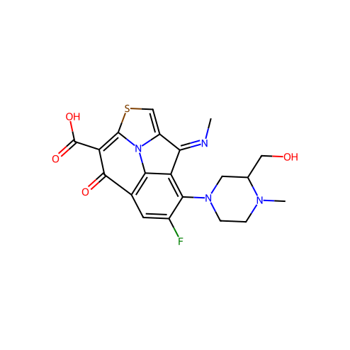 CN=c1c2c(N3CCN(C)C(CO)C3)c(F)cc3c(=O)c(C(=O)O)c4scc1n4c32